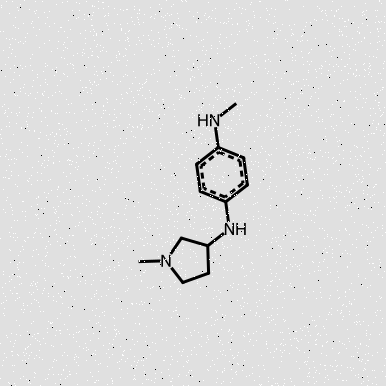 CNc1ccc(NC2CCN(C)C2)cc1